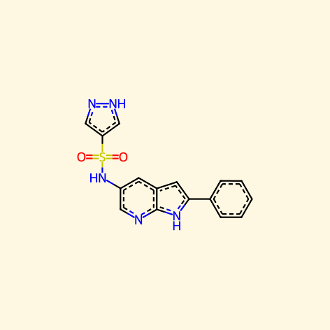 O=S(=O)(Nc1cnc2[nH]c(-c3ccccc3)cc2c1)c1cn[nH]c1